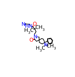 CN(C)C1(c2ccccc2)CCC2(CC1)CC(=O)N(CCC(C)(C)C(=O)NCC#N)C2